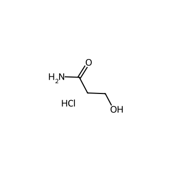 Cl.NC(=O)CCO